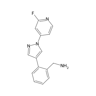 NCc1ccccc1-c1cnn(-c2ccnc(F)c2)c1